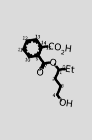 CCC(CCCO)OC(=O)c1ccccc1C(=O)O